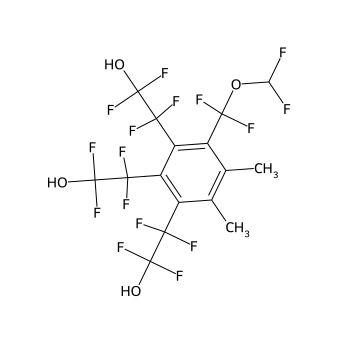 Cc1c(C)c(C(F)(F)C(O)(F)F)c(C(F)(F)C(O)(F)F)c(C(F)(F)C(O)(F)F)c1C(F)(F)OC(F)F